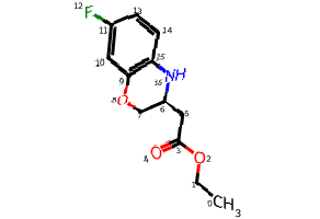 CCOC(=O)C[C@H]1COc2cc(F)ccc2N1